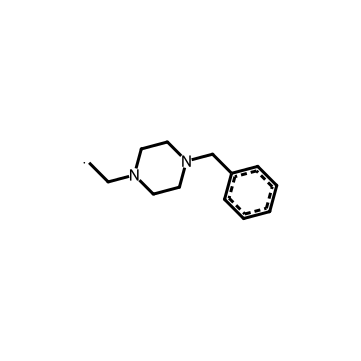 [CH2]CN1CCN(Cc2ccccc2)CC1